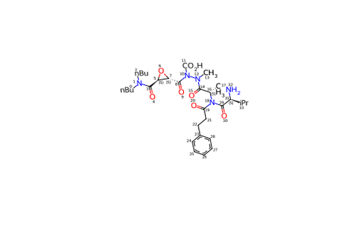 CCCCN(CCCC)C(=O)[C@H]1O[C@@H]1C(=O)N(C(=O)O)N(C)C(=O)[C@H](C)N(C(=O)CCc1ccccc1)C(=O)[C@@H](N)C(C)C